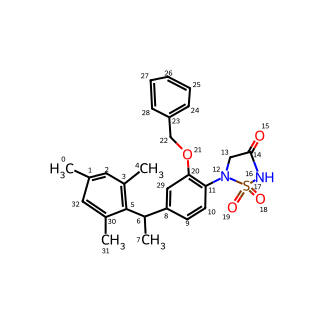 Cc1cc(C)c(C(C)c2ccc(N3CC(=O)NS3(=O)=O)c(OCc3ccccc3)c2)c(C)c1